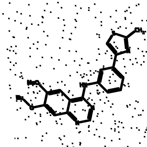 CCC(C)Oc1cc2ncnc(Nc3cccc(-c4csc(C)n4)c3)c2cc1OC